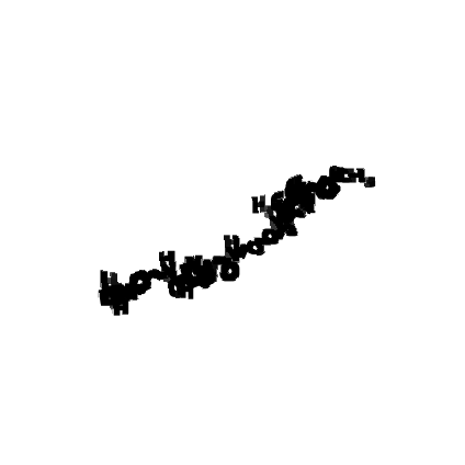 COc1cccc(Cn2ncc3c4sc(COCCOCCNC(=O)Cn5ccc6cc(C(O)NCCc7ccc(N8C[C@H]9CC[C@@H](C8)N9)cc7)cnc65)nc4n(C)c3c2=O)c1